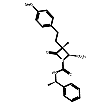 COc1ccc(CC[C@@]2(C)C(=O)N(C(=O)N[C@H](C)c3ccccc3)[C@@H]2C(=O)O)cc1